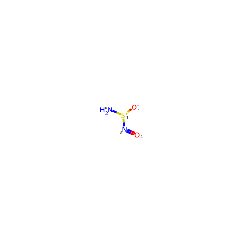 N[S+]([O-])N=O